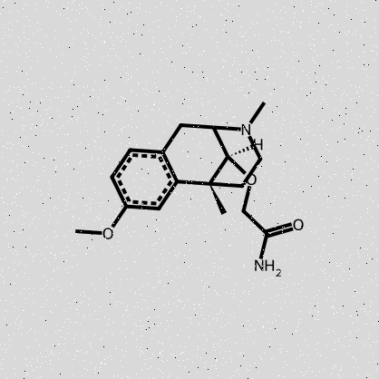 COc1ccc2c(c1)[C@@]1(C)CCN(C)C(C2)[C@H]1OCC(N)=O